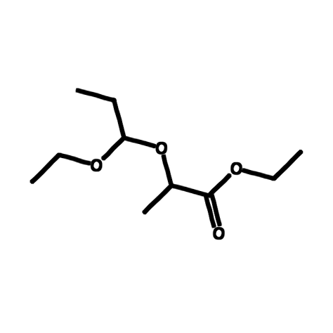 CCOC(=O)C(C)OC(CC)OCC